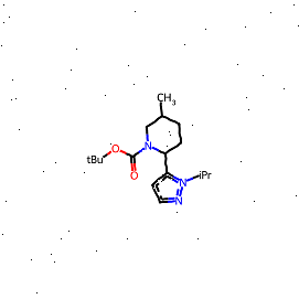 CC1CCC(c2ccnn2C(C)C)N(C(=O)OC(C)(C)C)C1